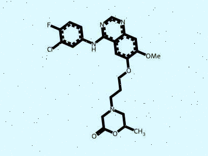 COc1cc2ncnc(Nc3ccc(F)c(Cl)c3)c2cc1OCCCN1CC(=O)OC(C)C1